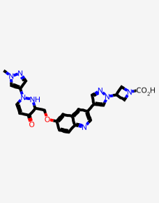 Cn1cc(N2C=CC(=O)C(COc3ccc4ncc(-c5cnn(C6CN(C(=O)O)C6)c5)cc4c3)N2)cn1